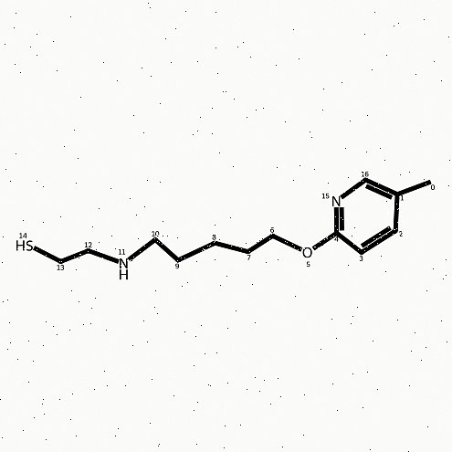 Cc1ccc(OCCCCCNCCS)nc1